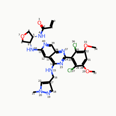 C=CC(=O)N[C@H]1COC[C@H]1Nc1cc2c(NCc3cnn(C)c3)nc(-c3c(Cl)c(OC)cc(OC)c3Cl)nc2cn1